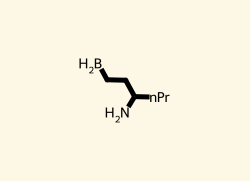 BCCC(N)CCC